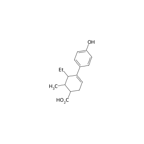 CCC1C(c2ccc(O)cc2)=CCC(C(=O)O)C1C